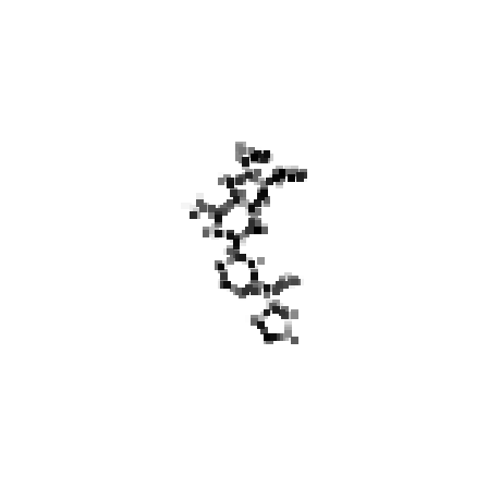 COc1cc2nc(N3CCCC(C(=O)N4CCCC4)C3)nc(N)c2cc1OC